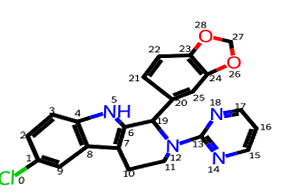 Clc1ccc2[nH]c3c(c2c1)CCN(c1ncccn1)C3c1ccc2c(c1)OCO2